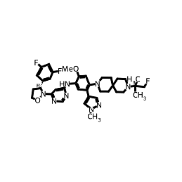 COc1cc(N2CCC3(CC2)CCN(C(C)(C)CF)CC3)c(-c2cnn(C)c2)cc1Nc1cc(N2OCC[C@@H]2c2cc(F)cc(F)c2)ncn1